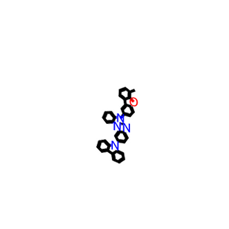 Cc1cccc2c1oc1ccc(-n3c4ccccc4n4c5cc(-n6c7ccccc7c7ccccc76)ccc5nc34)cc12